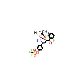 CC(C)(C)OC(=O)NC(CCC(=O)c1c(F)cccc1F)c1ccc(OS(=O)(=O)C(F)(F)F)cc1